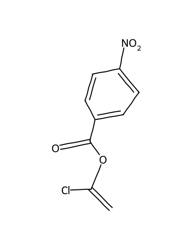 C=C(Cl)OC(=O)c1ccc([N+](=O)[O-])cc1